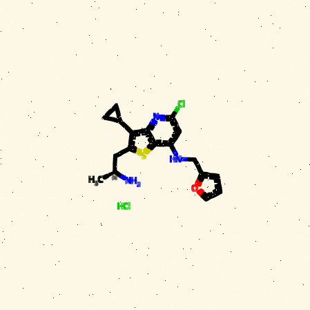 C[C@H](N)Cc1sc2c(NCc3ccco3)cc(Cl)nc2c1C1CC1.Cl